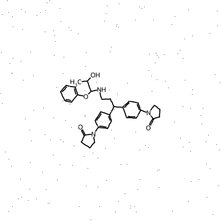 CC(O)C(NCCC(c1ccc(N2CCCC2=O)cc1)c1ccc(N2CCCC2=O)cc1)Oc1ccccc1